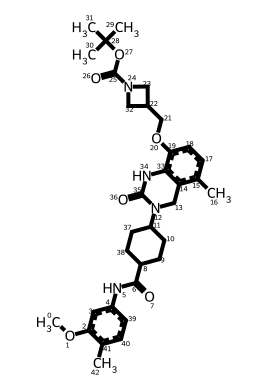 COc1cc(NC(=O)C2CCC(N3Cc4c(C)ccc(OCC5CN(C(=O)OC(C)(C)C)C5)c4NC3=O)CC2)ccc1C